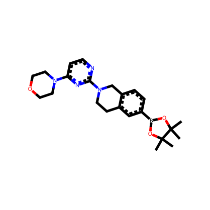 CC1(C)OB(c2ccc3c(c2)CCN(c2nccc(N4CCOCC4)n2)C3)OC1(C)C